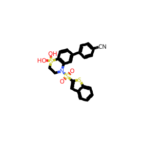 N#Cc1ccc(-c2ccc3c(c2)N(S(=O)(=O)c2cc4ccccc4s2)CCS3(O)O)cc1